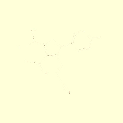 CC(C)c1c(/C=C/C#N)c(-c2ccc(F)cc2)cn1C(C)C